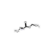 [CH2]/N=N/C(=O)OCC